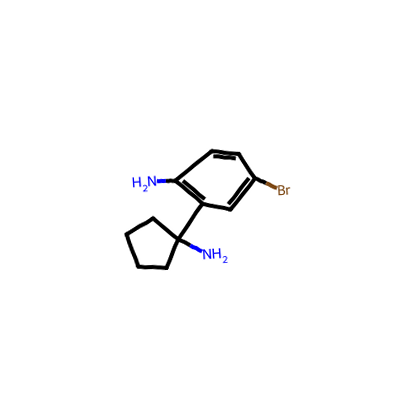 Nc1ccc(Br)cc1C1(N)CCCC1